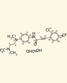 CN(C)CCN(C)c1ccc(NC(=O)C#Cc2ccc(C(F)(F)F)cc2Cl)cc1.O=CO